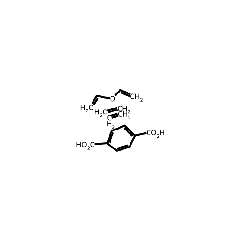 C=C.C=C.C=COC=C.O=C(O)c1ccc(C(=O)O)cc1